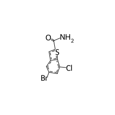 NC(=O)c1cc2cc(Br)cc(Cl)c2s1